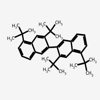 CC(C)(C)c1cc2c(C(C)(C)C)cccc2[c]c1-c1[c]c2cccc(C(C)(C)C)c2cc1C(C)(C)C